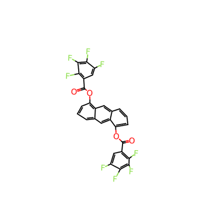 O=C(Oc1cccc2cc3c(OC(=O)c4cc(F)c(F)c(F)c4F)cccc3cc12)c1cc(F)c(F)c(F)c1F